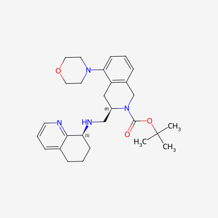 CC(C)(C)OC(=O)N1Cc2cccc(N3CCOCC3)c2C[C@@H]1CN[C@H]1CCCc2cccnc21